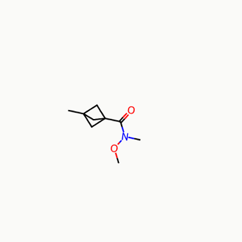 CON(C)C(=O)C12CC(C)(C1)C2